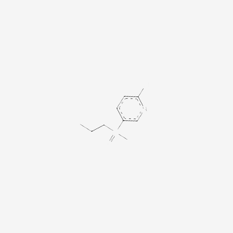 CCCP(C)(=S)c1ccc(Cl)nc1